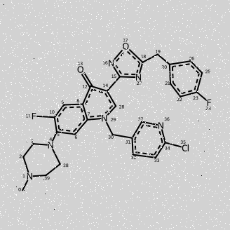 CN1CCN(c2cc3c(cc2F)c(=O)c(-c2noc(Cc4ccc(F)cc4)n2)cn3Cc2ccc(Cl)nc2)CC1